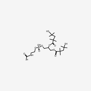 CC(C)C(=O)NCCOP(=O)(O)OCC(COC(=O)C(C)(C)CC(C)(C)S)OC(=O)C(C)(C)CC(C)(C)S